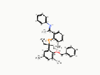 CCC(C)(Pc1c(C)cccc1/C(C)=N/c1ccccc1)c1cc(C)cc(C)c1OCc1ccccc1